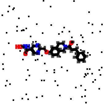 O=C(NO)c1cnc(COc2ccc3c(c2)CCN(C(=O)/C=C/c2ccccc2)C3)nc1